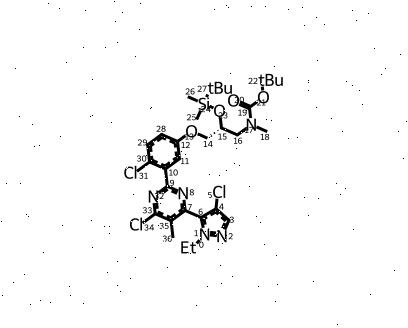 CCn1ncc(Cl)c1-c1nc(-c2cc(OC[C@@H](CN(C)C(=O)OC(C)(C)C)O[Si](C)(C)C(C)(C)C)ccc2Cl)nc(Cl)c1C